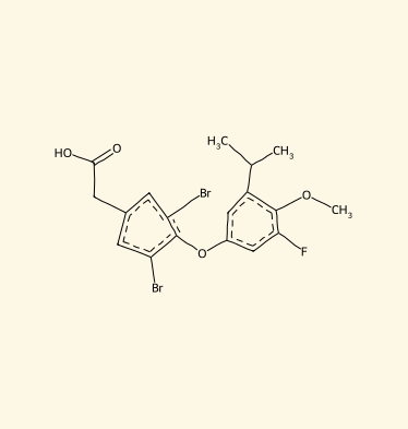 COc1c(F)cc(Oc2c(Br)cc(CC(=O)O)cc2Br)cc1C(C)C